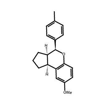 COc1ccc2c(c1)[C@H]1CCC[C@H]1[C@@H](c1ccc(C)cc1)O2